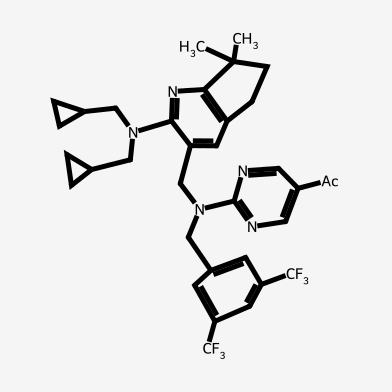 CC(=O)c1cnc(N(Cc2cc(C(F)(F)F)cc(C(F)(F)F)c2)Cc2cc3c(nc2N(CC2CC2)CC2CC2)C(C)(C)CC3)nc1